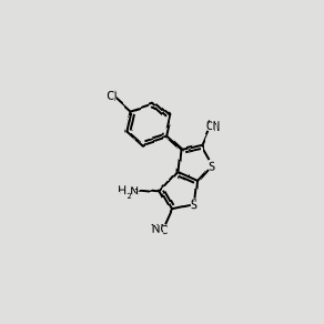 N#Cc1sc2sc(C#N)c(-c3ccc(Cl)cc3)c2c1N